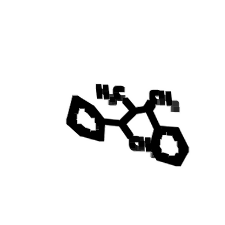 C=C(c1ccccc1)C(C)C(C)c1ccccc1